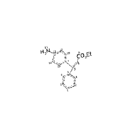 CCOC(=O)C=C(c1ccccc1)c1ccc(N)cc1